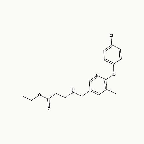 CCOC(=O)CCNCc1cnc(Oc2ccc(Cl)cc2)c(C)c1